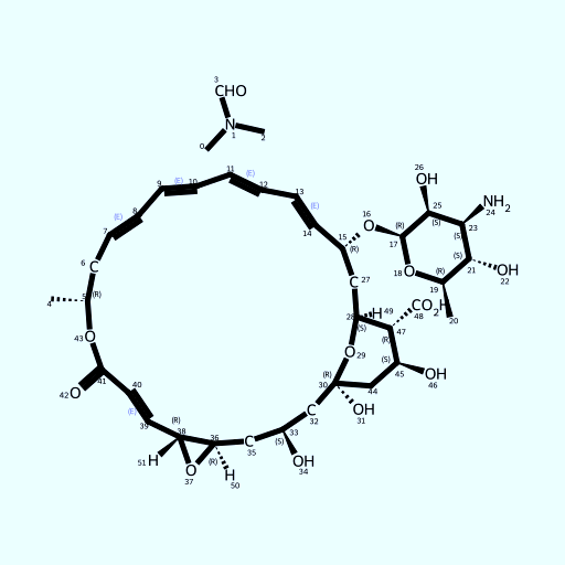 CN(C)C=O.C[C@@H]1C/C=C/C=C/C=C/C=C/[C@H](O[C@@H]2O[C@H](C)[C@@H](O)[C@H](N)[C@@H]2O)C[C@@H]2O[C@](O)(C[C@@H](O)C[C@H]3O[C@@H]3/C=C/C(=O)O1)C[C@H](O)[C@H]2C(=O)O